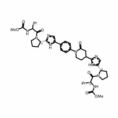 COC(=O)NC(C(=O)N1CCC[C@H]1c1ncc(-c2ccc(N3CCC(c4ncc([C@@H]5CCCN5C(=O)[C@@H](NC(=O)OC)C(C)C)[nH]4)CC3=O)cc2)[nH]1)C(C)C